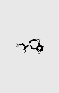 O=C(CBr)N1CCOc2ccsc2C1